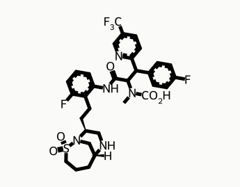 CN(C(=O)O)C(C(=O)Nc1cccc(F)c1CC[C@H]1CN[C@@H]2CCCS(=O)(=O)N1C2)C(c1ccc(F)cc1)c1ccc(C(F)(F)F)cn1